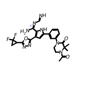 CC(=O)N1CCN(c2cccc(-c3cc(-c4nnc(C5CC5(F)F)o4)c(/C(N)=N\C=N)[nH]3)c2)C(=O)C1(C)C